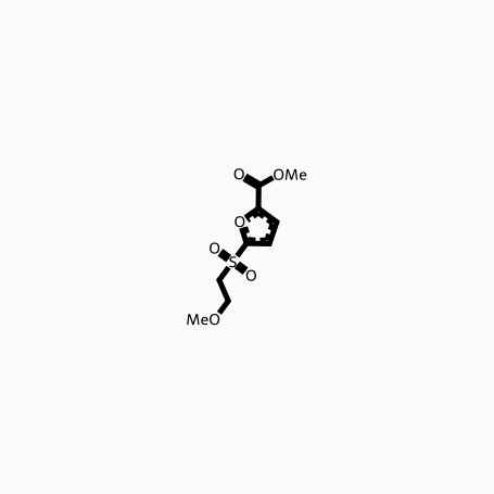 COCCS(=O)(=O)c1ccc(C(=O)OC)o1